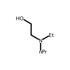 CCCN(CC)CCO